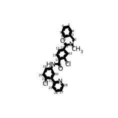 CN(Cc1ccccc1)C(=O)c1ccc(C(=O)Nc2ccc(Cl)c(-c3ccccn3)c2)c(Cl)c1